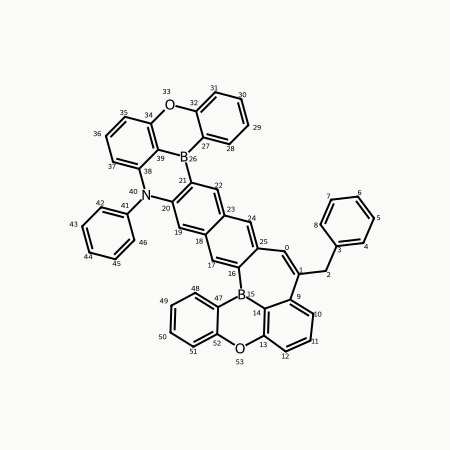 C1=C(Cc2ccccc2)c2cccc3c2B(c2cc4cc5c(cc4cc21)B1c2ccccc2Oc2cccc(c21)N5c1ccccc1)c1ccccc1O3